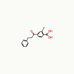 O=C(CCc1ccccc1)c1ccc(B(O)O)c(F)c1